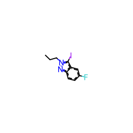 CCCn1nc2ccc(F)cc2c1I